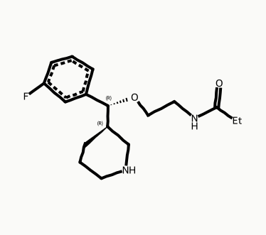 CCC(=O)NCCO[C@@H](c1cccc(F)c1)[C@@H]1CCCNC1